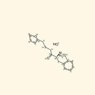 Cl.N[C@@H](Cc1ccccc1Cl)C(=O)CSCc1ccco1